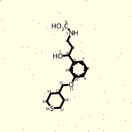 O=C(O)NCCC(O)c1cccc(OCC2CCSCC2)c1